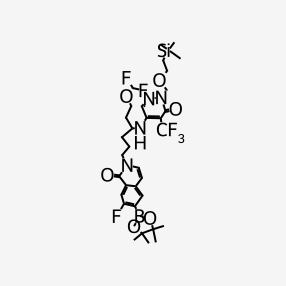 CC1(C)OB(c2cc3ccn(CCCC(CCOC(F)F)Nc4cnn(COCC[Si](C)(C)C)c(=O)c4C(F)(F)F)c(=O)c3cc2F)OC1(C)C